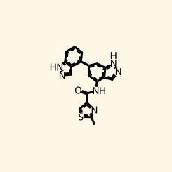 Cc1nc(C(=O)Nc2cc(-c3cccc4[nH]ncc34)cc3[nH]ncc23)cs1